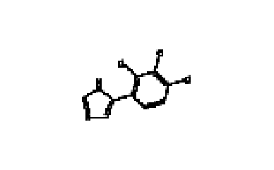 Clc1ccc(-c2cnc[nH]2)c(Cl)c1Cl